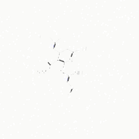 C=C/C=C(\N)NC1=C(C(=O)NC)C(/C=C(\C)CCC)CC(C)=N1